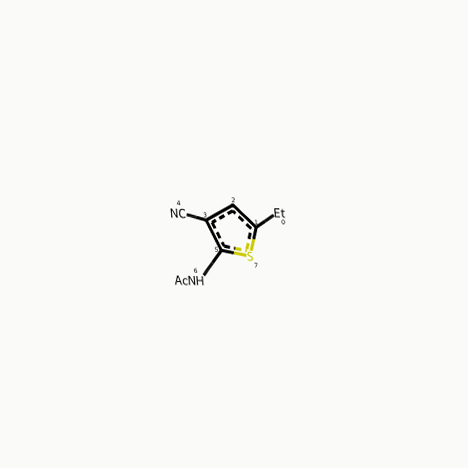 CCc1cc(C#N)c(NC(C)=O)s1